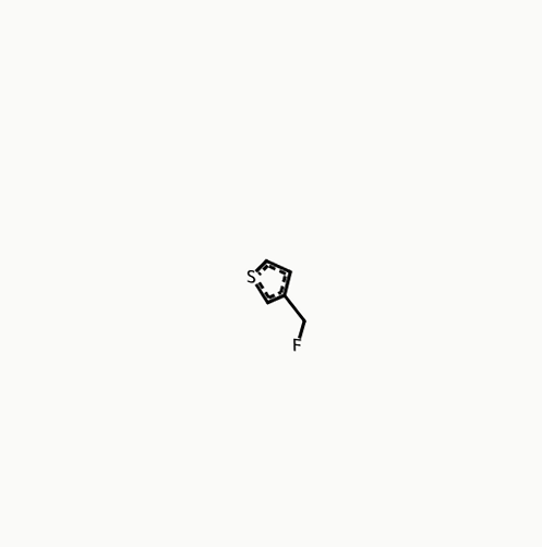 FCc1ccsc1